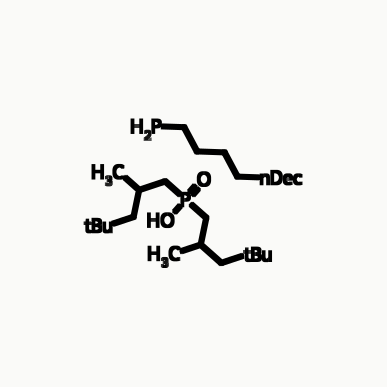 CC(CC(C)(C)C)CP(=O)(O)CC(C)CC(C)(C)C.CCCCCCCCCCCCCCP